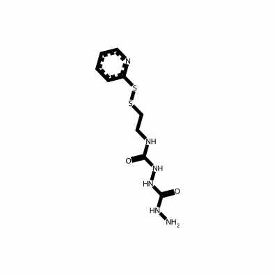 NNC(=O)NNC(=O)NCCSSc1ccccn1